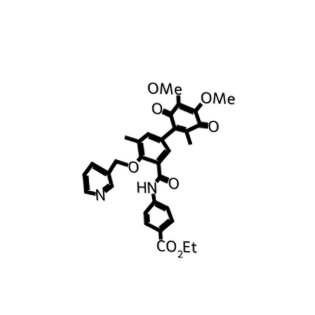 CCOC(=O)c1ccc(NC(=O)c2cc(C3=C(C)C(=O)C(OC)=C(OC)C3=O)cc(C)c2OCc2cccnc2)cc1